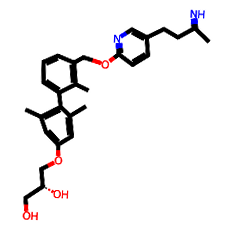 CC(=N)CCc1ccc(OCc2cccc(-c3c(C)cc(OC[C@H](O)CO)cc3C)c2C)nc1